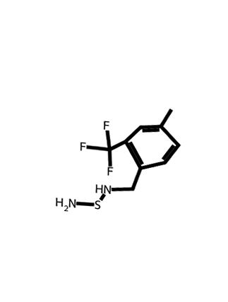 Cc1ccc(CNSN)c(C(F)(F)F)c1